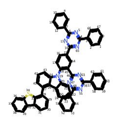 c1ccc(-c2nc(-c3ccccc3)nc(-c3ccc(-n4c5ccccc5c5c(-c6cccc7c6sc6ccccc67)cccc54)c(-c4nc(-c5ccccc5)nc(-c5ccccc5)n4)c3)n2)cc1